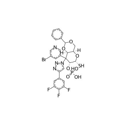 O=P(O)(O)O[C@H]1[C@@H](S)O[C@@H]2COC(c3ccccc3)O[C@@H]2C1(c1cncc(Br)c1)n1cc(-c2cc(F)c(F)c(F)c2)nn1